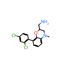 CN1CC(CN)Oc2c(-c3ccc(Cl)cc3Cl)cccc21